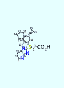 O=C(O)CCSc1nc2ncccc2n1Cc1ccc(C2CC2)c2ccccc12